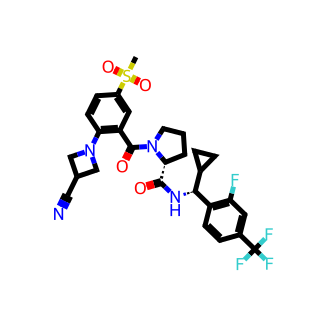 CS(=O)(=O)c1ccc(N2CC(C#N)C2)c(C(=O)N2CCC[C@@H]2C(=O)N[C@@H](c2ccc(C(F)(F)F)cc2F)C2CC2)c1